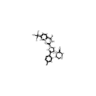 Cc1ccc(C2=NN(C(=O)N[C@H](C)c3ccc(C(F)(F)F)nn3)C[C@@H]2N2CCOCC2=O)cc1